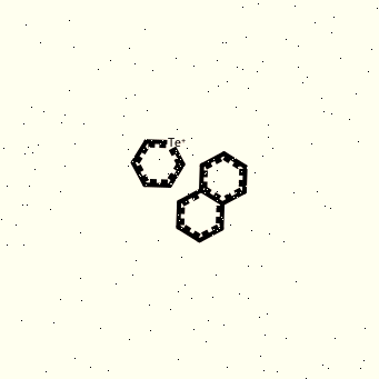 c1cc[te+]cc1.c1ccc2ccccc2c1